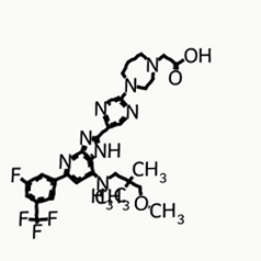 COCC(C)(C)CN(C)c1cc(-c2cc(F)cc(C(F)(F)F)c2)nc2nc(-c3cnc(N4CCCN(CC(=O)O)CC4)cn3)[nH]c12